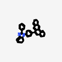 C1=C(c2cc3ccccc3c3cc4c(cc23)=CCCC=4)CCC(n2c(-c3ccccc3)nc3ccccc32)=C1